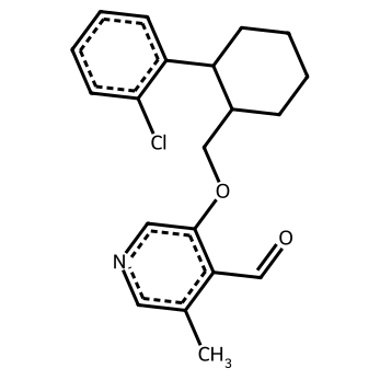 Cc1cncc(OCC2CCCCC2c2ccccc2Cl)c1C=O